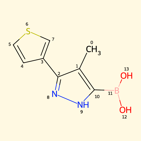 Cc1c(-c2ccsc2)n[nH]c1B(O)O